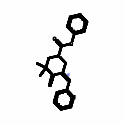 CC1(C)CN(C(=O)Oc2ccccc2)C/C(=C/c2ccccn2)C1=O